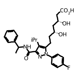 CC(C)c1c(C(=O)NC(C)c2ccccc2)nn(-c2ccc(F)cc2)c1CC[C@@H](O)C[C@@H](O)CC(=O)O